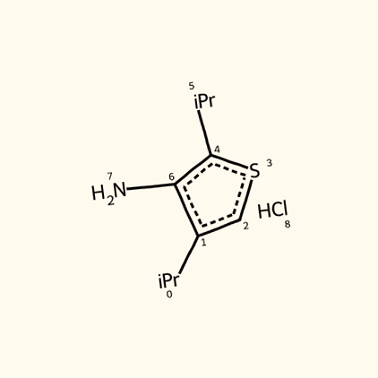 CC(C)c1csc(C(C)C)c1N.Cl